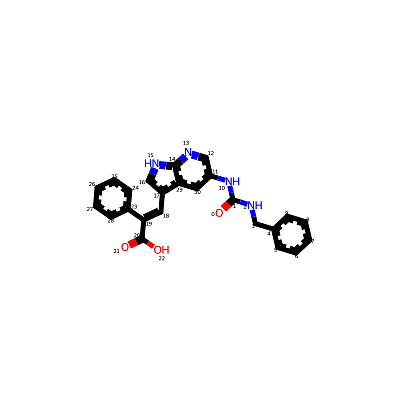 O=C(NCc1ccccc1)Nc1cnc2[nH]cc(/C=C(/C(=O)O)c3ccccc3)c2c1